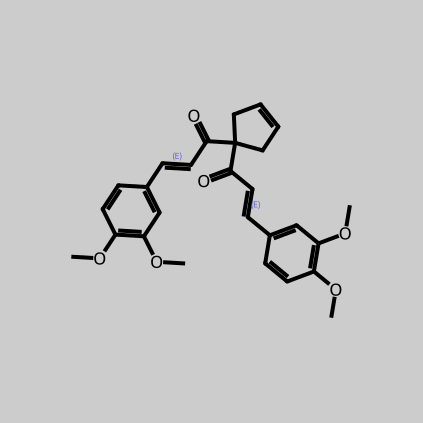 COc1ccc(/C=C/C(=O)C2(C(=O)/C=C/c3ccc(OC)c(OC)c3)CC=CC2)cc1OC